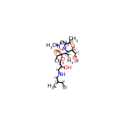 CCC(CC)(OCC(O)CNCC(C)CBr)P(=O)(N(C)C)N1CC(C)OC(COI)C1